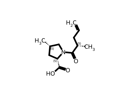 C=CC[C@H](C)C(=O)N1C[C@@H](C)C[C@H]1C(=O)O